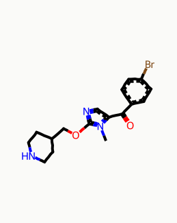 Cn1c(C(=O)c2ccc(Br)cc2)cnc1OCC1CCNCC1